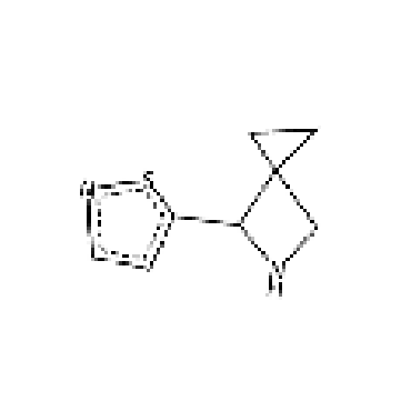 c1cc(C2NCC23CC3)sn1